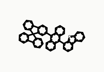 c1ccc2c(c1)-c1ccccc1C21c2ccccc2-c2ccc(-c3c4ccccc4c(-c4cccc5c4oc4ccccc45)c4ccccc34)cc21